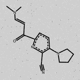 CN(C)C=CC(=O)c1ccc(N2CCCC2)c(C#N)n1